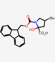 CC(C)(C)C1CN(C(=O)OCC2c3ccccc3-c3ccccc32)C(O)(C(=O)O)C1